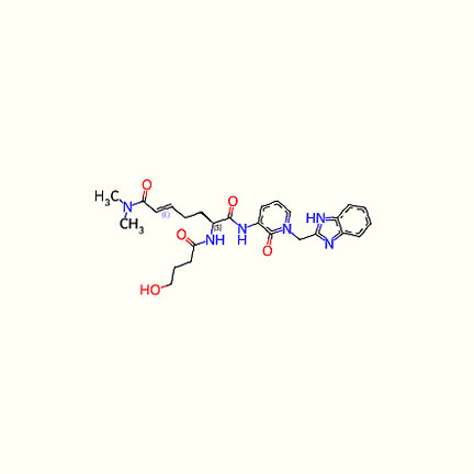 CN(C)C(=O)/C=C/CC[C@H](NC(=O)CCCO)C(=O)Nc1cccn(Cc2nc3ccccc3[nH]2)c1=O